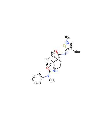 CCCCc1cn(C(C)(C)C)s/c1=N\C(=O)[C@]1(C)CC[C@H](NC(=O)N(C)c2ccccc2)C1(C)C